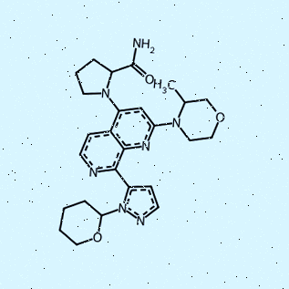 CC1COCCN1c1cc(N2CCCC2C(N)=O)c2ccnc(-c3ccnn3C3CCCCO3)c2n1